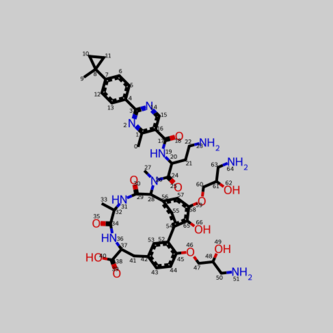 Cc1nc(-c2ccc(C3(C)CC3)cc2)ncc1C(=O)NC(CCN)C(=O)N(C)C1C(=O)NC(C)C(=O)NC(C(=O)O)Cc2ccc(OCC(O)CN)c(c2)-c2cc1cc(OCC(O)CN)c2O